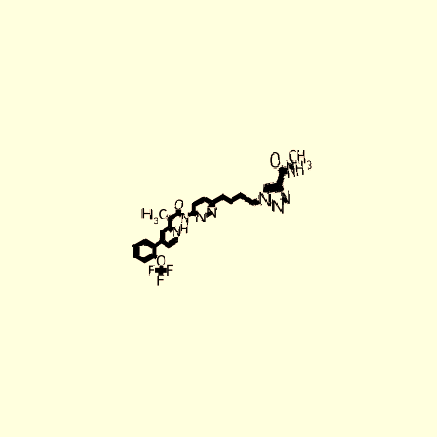 CNC(=O)c1cn(CCCCc2ccc(NC(=O)[C@@H](C)c3cc(-c4ccccc4OC(F)(F)F)ccn3)nn2)nn1